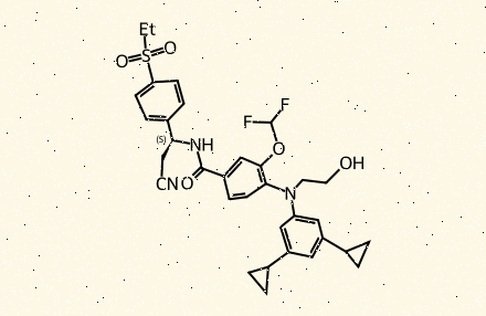 CCS(=O)(=O)c1ccc([C@H](CC#N)NC(=O)c2ccc(N(CCO)c3cc(C4CC4)cc(C4CC4)c3)c(OC(F)F)c2)cc1